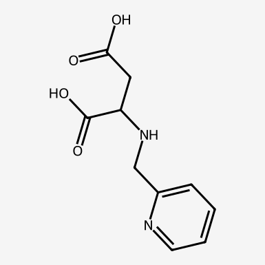 O=C(O)CC(NCc1ccccn1)C(=O)O